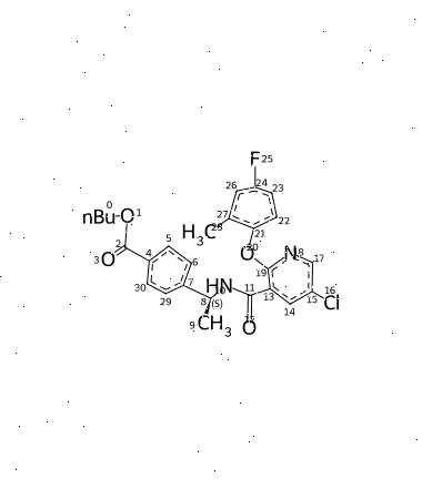 CCCCOC(=O)c1ccc([C@H](C)NC(=O)c2cc(Cl)cnc2Oc2ccc(F)cc2C)cc1